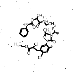 CCNC(=O)C(C)OC(=O)Nc1ccccc1.CCOC(=O)C(Cl)Cc1cc(-n2nc(C)n(C(F)F)c2=O)c(F)cc1Cl